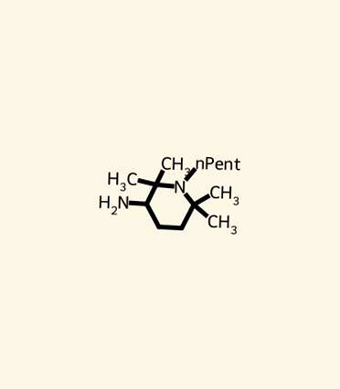 CCCCCN1C(C)(C)CCC(N)C1(C)C